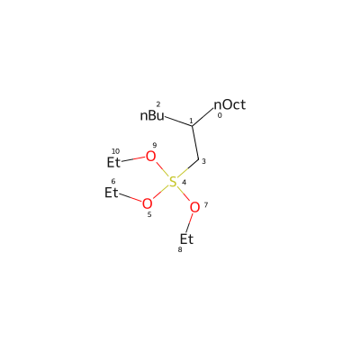 CCCCCCCCC(CCCC)CS(OCC)(OCC)OCC